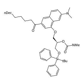 CCCCCCCCCCCCCCC(=O)c1cc(OC[C@H](CO[Si](c2ccccc2)(c2ccccc2)C(C)(C)C)OC(=O)NC)c2cc(N(C)C)ccc2c1